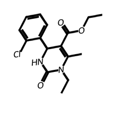 CCOC(=O)C1=C(C)N(CC)C(=O)NC1c1ccccc1Cl